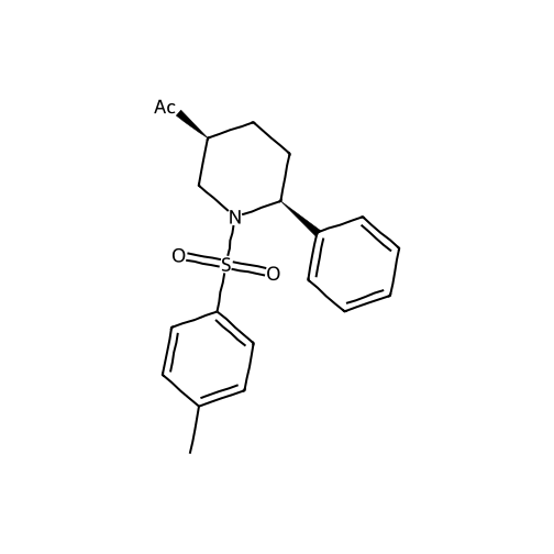 CC(=O)[C@H]1CC[C@@H](c2ccccc2)N(S(=O)(=O)c2ccc(C)cc2)C1